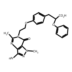 CCCc1nn(C)c2c(=O)n(CCOc3ccc(CC(Oc4ccccc4)C(=O)O)cc3)c(C)nc12